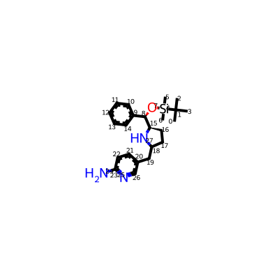 CC(C)(C)[Si](C)(C)O[C@H](c1ccccc1)[C@H]1CCC(Cc2ccc(N)nc2)N1